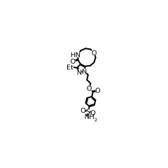 CCc1nn(CCCOC(=O)c2ccc(S(N)(=O)=O)cc2)c2c1C(=O)NCCCOCCC2